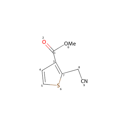 COC(=O)c1ccsc1CC#N